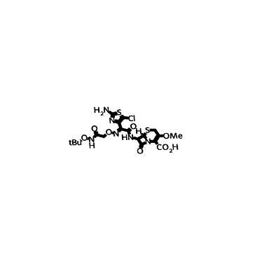 COC1=C(C(=O)O)N2C(=O)C(NC(=O)C(=NOCC(=O)NOC(C)(C)C)c3nc(N)sc3Cl)[C@@H]2SC1